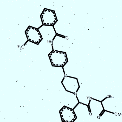 COC(=O)C(NC(=O)C(c1ccccc1)N1CCN(c2ccc(NC(=O)c3ccccc3-c3ccc(C(F)(F)F)cc3)cc2)CC1)C(C)(C)C